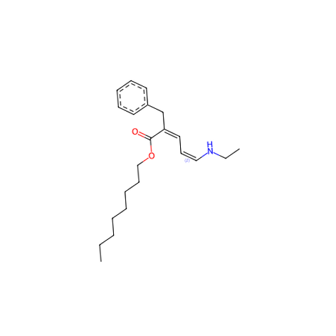 CCCCCCCCOC(=O)C(=C/C=C\NCC)Cc1ccccc1